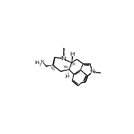 CN1C[C@H](CN)C[C@@H]2c3cccc4c3c(cn4C)C[C@H]21